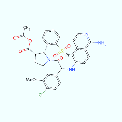 COc1cc([C@@H](Nc2ccc3c(N)nccc3c2)C(=O)N2CC[C@H](C(=O)OC(=O)C(F)(F)F)[C@@H]2c2ccccc2S(=O)(=O)C(C)C)ccc1Cl